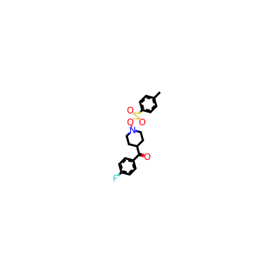 Cc1ccc(S(=O)(=O)ON2CCC(C(=O)c3ccc(F)cc3)CC2)cc1